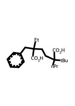 CCCC(CCC(CC)(Cc1ccccc1)C(=O)O)(C(=O)O)C(C)(C)C